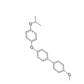 COc1ccc(-c2ccc(Oc3ccc(OC(C)C)cc3)cc2)cc1